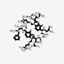 COC[C@@H](NC[C@H](N(Cc1ccccc1)C(=O)O)C(F)(F)F)c1ccc2c(nc([C@@H](N[S@@+]([O-])C(C)(C)C)[C@@H](C)O[C@H](C)C(F)(F)F)n2COCC[Si](C)(C)C)c1F.COC[C@@H](NC[C@H](N)C(F)(F)F)c1ccc2c(nc([C@@H](N[S@@+]([O-])C(C)(C)C)[C@@H](C)O[C@H](C)C(F)(F)F)n2COCC[Si](C)(C)C)c1F